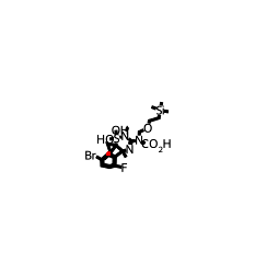 CN1C(N(COCC[Si](C)(C)C)C(=O)O)=NC(C)(c2cc(Br)ccc2F)C2(CC2)S1(O)O